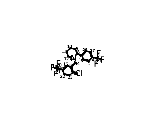 FC(F)(F)c1ccc(C2C[CH]CCN2Cc2cc(C(F)(F)F)ccc2Cl)cc1